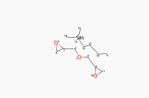 C(OCC1CO1)C1CO1.CCCC[SiH](C)C